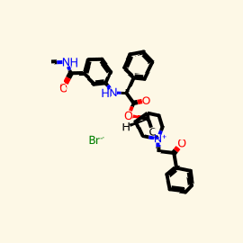 CNC(=O)c1cccc(NC(C(=O)O[C@H]2C[N+]3(CC(=O)c4ccccc4)CCC2CC3)c2ccccc2)c1.[Br-]